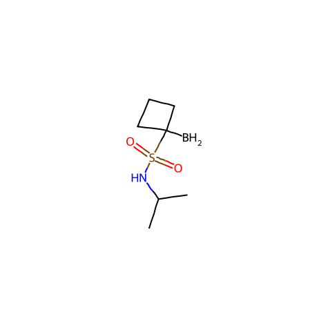 BC1(S(=O)(=O)NC(C)C)CCC1